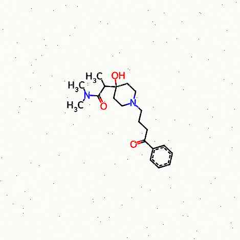 CC(C(=O)N(C)C)C1(O)CCN(CCCC(=O)c2ccccc2)CC1